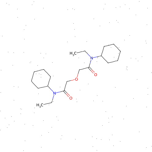 CCN(C(=O)COCC(=O)N(CC)C1CCCCC1)C1CCCCC1